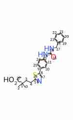 CC(C)(CCc1ncc(-c2ccc(NC(=O)NCc3ccccc3)cc2)s1)C(=O)O